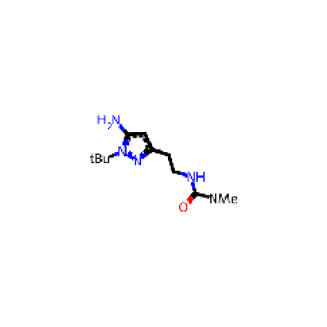 CNC(=O)NCCc1cc(N)n(C(C)(C)C)n1